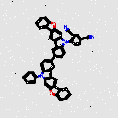 N#Cc1ccc(-n2c3ccc(-c4ccc5c(c4)c4cc6c(cc4n5-c4ccccc4)oc4ccccc46)cc3c3cc4c(cc32)oc2ccccc24)c(C#N)c1